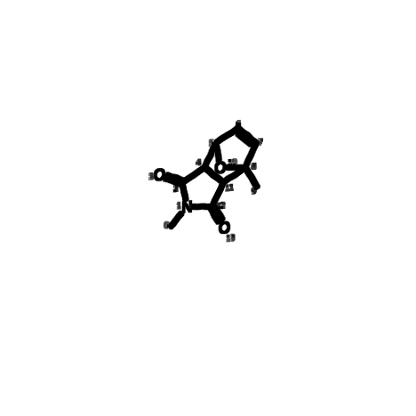 CN1C(=O)C2C3C=CC(C)(O3)C2C1=O